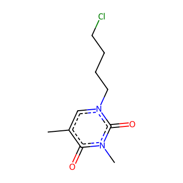 Cc1cn(CCCCCl)c(=O)n(C)c1=O